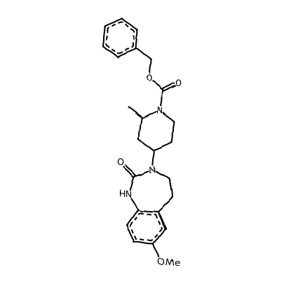 COc1ccc2c(c1)CCN(C1CCN(C(=O)OCc3ccccc3)C(C)C1)C(=O)N2